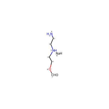 NCCNCCOC=O.[NaH]